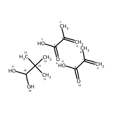 C=C(C)C(=O)O.C=C(C)C(=O)O.CC(C)(C)C(O)O